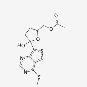 CSc1ncnc2c(C3(O)CCC(COC(C)=O)O3)scc12